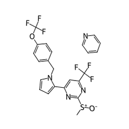 C[S+]([O-])c1nc(-c2cccn2Cc2ccc(OC(F)(F)F)cc2)cc(C(F)(F)F)n1.c1ccncc1